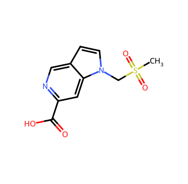 CS(=O)(=O)Cn1ccc2cnc(C(=O)O)cc21